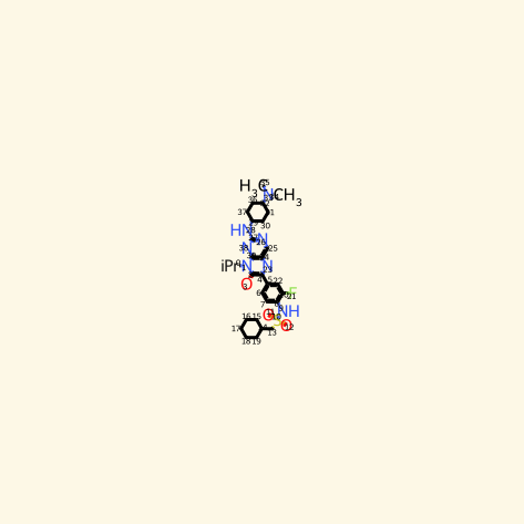 CC(C)n1c(=O)c(-c2ccc(NS(=O)(=O)CC3CCCCC3)c(F)c2)nc2cnc(NC3CCC(N(C)C)CC3)nc21